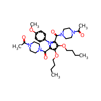 CCCCOc1c(OCCCC)c(C(=O)N2CCN(C(C)=O)CC2)n(-c2ccc(OC)cc2)c1C(=O)N1CCN(C(C)=O)CC1